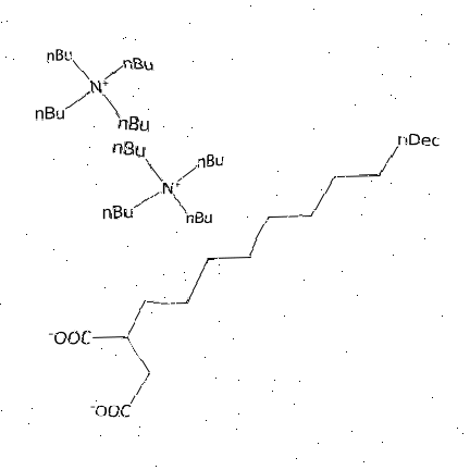 CCCCCCCCCCCCCCCCCCC(CC(=O)[O-])C(=O)[O-].CCCC[N+](CCCC)(CCCC)CCCC.CCCC[N+](CCCC)(CCCC)CCCC